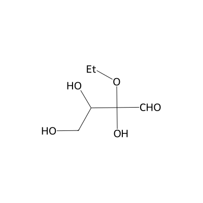 CCOC(O)(C=O)C(O)CO